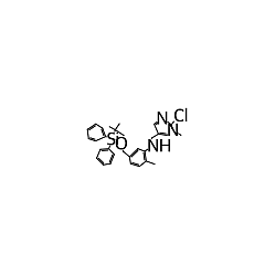 Cc1ccc(CO[Si](c2ccccc2)(c2ccccc2)C(C)(C)C)cc1NCC1=CN(C)C(Cl)N=C1